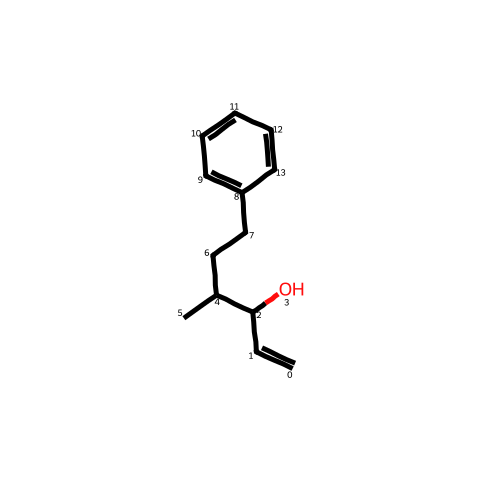 C=CC(O)C(C)CCc1ccccc1